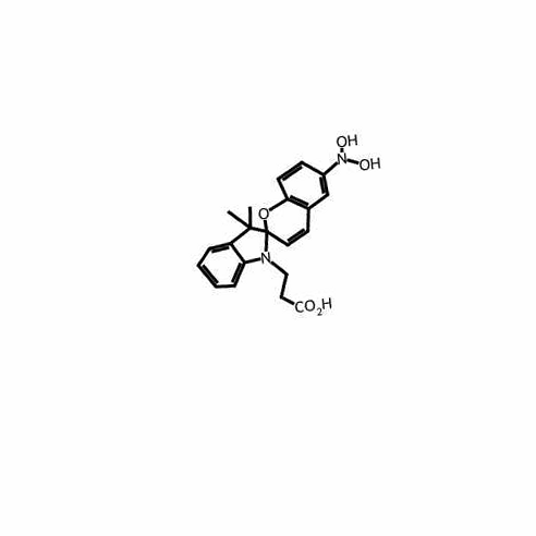 CC1(C)c2ccccc2N(CCC(=O)O)C12C=Cc1cc(N(O)O)ccc1O2